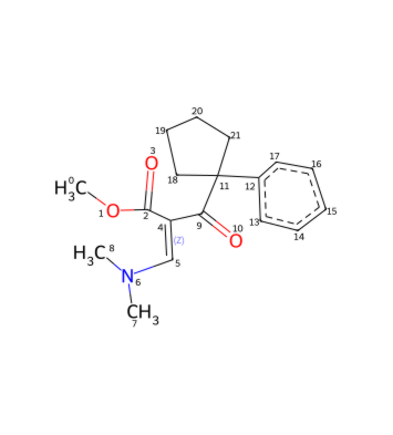 COC(=O)/C(=C\N(C)C)C(=O)C1(c2ccccc2)CCCC1